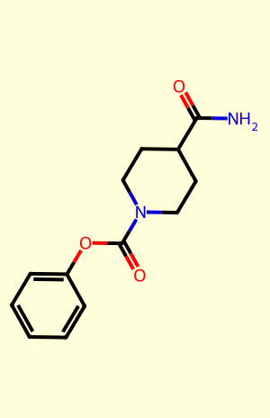 NC(=O)C1CCN(C(=O)Oc2ccccc2)CC1